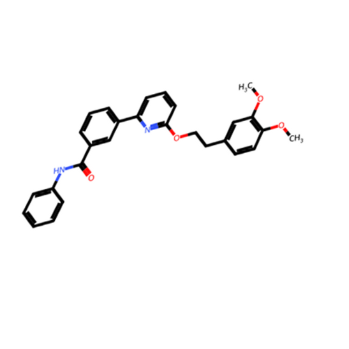 COc1ccc(CCOc2cccc(-c3cccc(C(=O)Nc4ccccc4)c3)n2)cc1OC